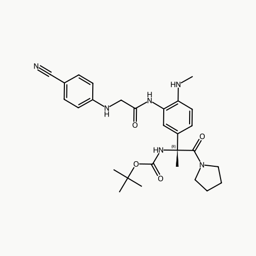 CNc1ccc([C@@](C)(NC(=O)OC(C)(C)C)C(=O)N2CCCC2)cc1NC(=O)CNc1ccc(C#N)cc1